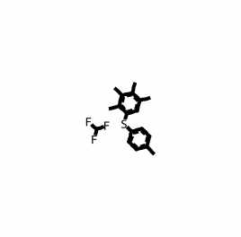 Cc1ccc(Sc2cc(C)c(C)c(C)c2C)cc1.FC(F)F